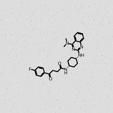 CN(C)c1nc(N[C@H]2CC[C@@H](NC(=O)CCC(=O)c3ccc(F)cc3)CC2)nc2ccccc12